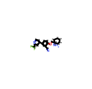 N#Cc1cc(-c2ccnc(C(F)F)c2)ccc1OCC1(N)CCCCC1